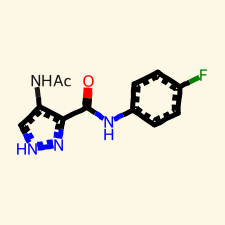 CC(=O)Nc1c[nH]nc1C(=O)Nc1ccc(F)cc1